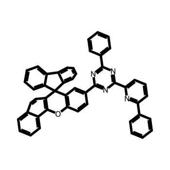 c1ccc(-c2cccc(-c3nc(-c4ccccc4)nc(-c4ccc5c(c4)C4(c6ccccc6-c6ccccc64)c4ccc6ccccc6c4O5)n3)n2)cc1